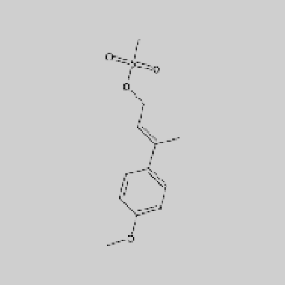 COc1ccc(C(C)=CCOS(C)(=O)=O)cc1